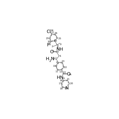 CC(C)(NC(=O)CC(N)c1ccc(C(=O)Nc2ccncc2)cc1)c1ccc(Cl)cc1F